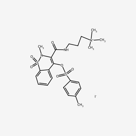 Cc1ccc(S(=O)(=O)OC2=C(C(=O)NCCC[N+](C)(C)C)N(C)S(=O)(=O)c3ccccc32)cc1.[I-]